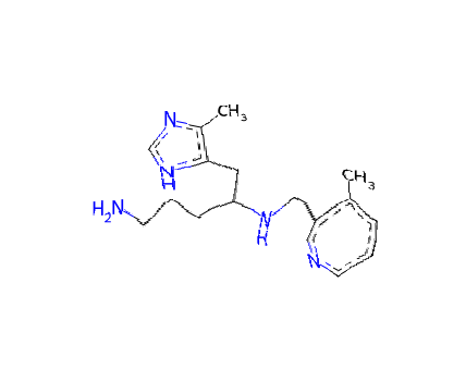 Cc1cccnc1CNC(CCCN)Cc1[nH]cnc1C